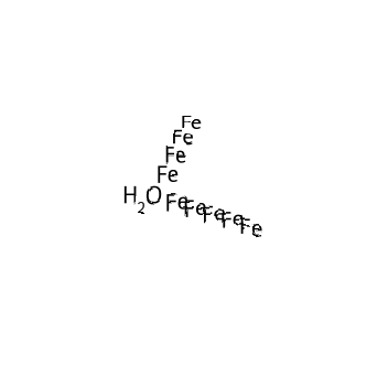 O.[Fe].[Fe].[Fe].[Fe].[Fe].[Fe].[Fe].[Fe].[Fe]